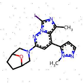 Cc1nc(I)n2nc(N3CC4CCC(C3)O4)cc(-c3ccnn3C)c12